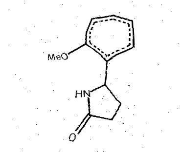 COc1ccccc1C1CCC(=O)N1